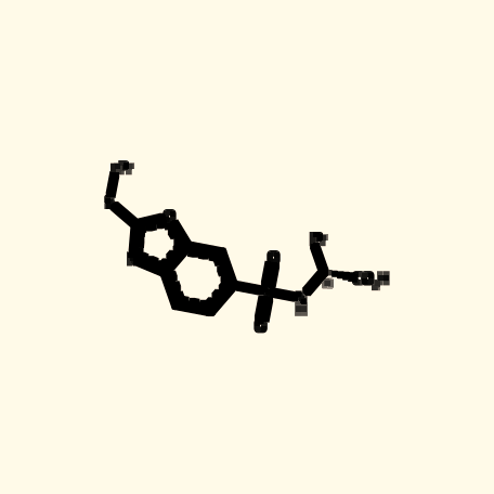 CCCSc1nc2ccc(S(=O)(=O)N[C@@H](C(=O)O)C(C)C)cc2o1